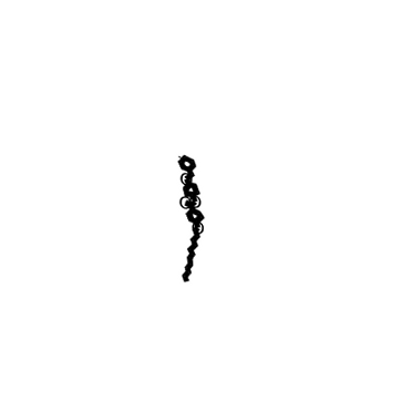 CCCCCCCCCCCCOc1ccc(C(=O)Oc2ccc(OCC3CC[CH]CC3)cc2)cc1